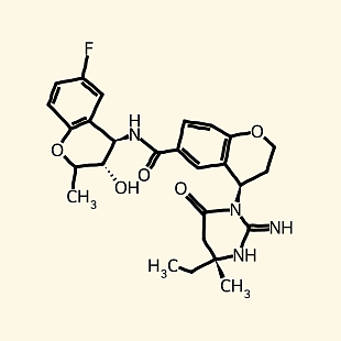 CC[C@]1(C)CC(=O)N([C@@H]2CCOc3ccc(C(=O)N[C@@H]4c5cc(F)ccc5OC(C)[C@H]4O)cc32)C(=N)N1